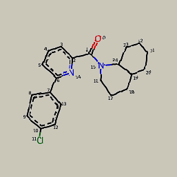 O=C(c1cccc(-c2ccc(Cl)cc2)n1)N1CCCC2CCCCC21